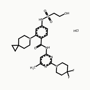 Cc1cc(NC(=O)c2ccc(NS(=O)(=O)CCO)cc2N2CCC3(CC2)CC3)nc(N2CCC(F)(F)CC2)n1.Cl